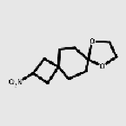 O=[N+]([O-])C1CC2(CCC3(CC2)OCCO3)C1